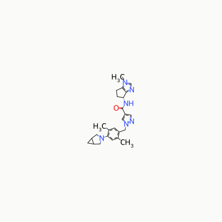 Cc1cc(N2CC3CC3C2)c(C)cc1Cn1cc(C(=O)N[C@@H]2CCc3c2ncn3C)cn1